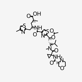 CC(=O)O[C@H](C[C@H](C(C)C)N(C)C(=O)C1(NC(=O)[C@H]2COCCN2C)CC1)c1nc(C(=O)N[C@@H](Cc2nc(C)cs2)C[C@H](C)C(=O)O)cs1